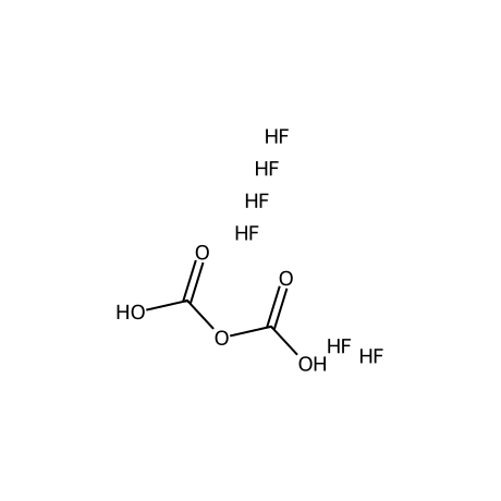 F.F.F.F.F.F.O=C(O)OC(=O)O